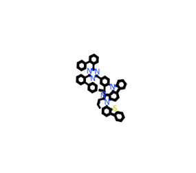 C=Cc1c(/C=C\C)n(-c2cccc3c2sc2ccccc23)c2ccc3c4ccccc4n(-c4ccc(-c5nc(-c6ccccc6-c6ccccc6)nc(-c6ccccc6-c6ccccc6)n5)cc4C#N)c3c12